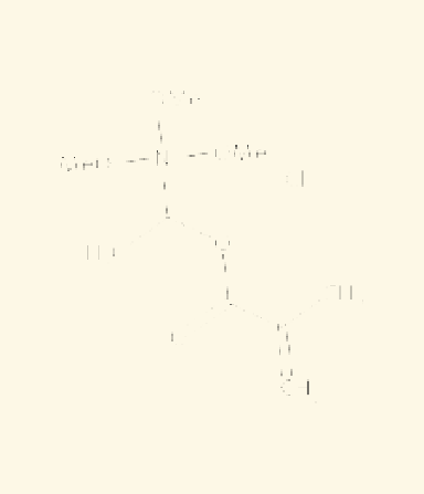 C=C(C)C(=O)OC(C)[N+](OC)(OC)OC.[Cl-]